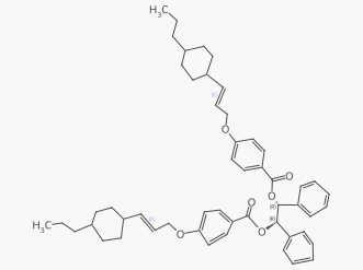 CCCC1CCC(/C=C/COc2ccc(C(=O)O[C@H](c3ccccc3)[C@H](OC(=O)c3ccc(OC/C=C/C4CCC(CCC)CC4)cc3)c3ccccc3)cc2)CC1